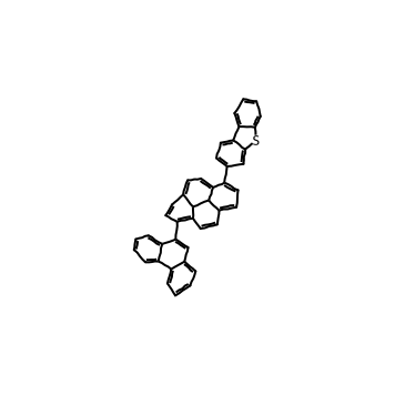 C1=CC2=C(c3cc4ccccc4c4ccccc34)C=CC3=CC=C4C(c5ccc6c(c5)sc5ccccc56)=CC=C1C4C32